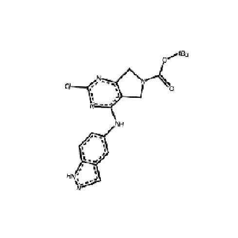 CC(C)(C)OC(=O)N1Cc2nc(Cl)nc(Nc3ccc4[nH]ncc4c3)c2C1